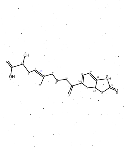 C=C(O)C(O)C/C=C(\C)CSCC(=O)C1=CC=C2NC(=O)SC2C1